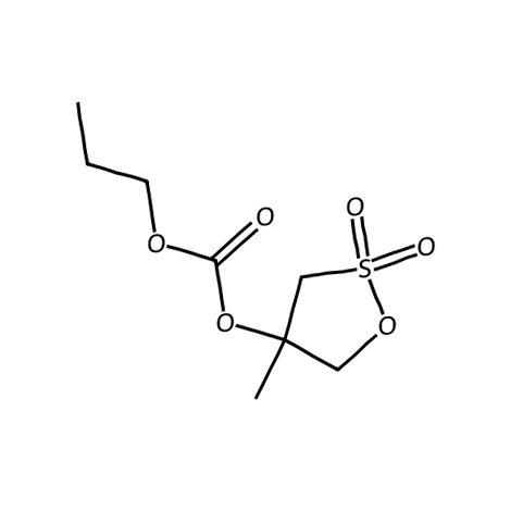 CCCOC(=O)OC1(C)COS(=O)(=O)C1